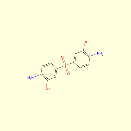 Nc1ccc(S(=O)(=O)c2ccc(N)c(O)c2)cc1O